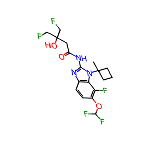 CC1(n2c(NC(=O)CC(O)(CF)CF)nc3ccc(OC(F)F)c(F)c32)CCC1